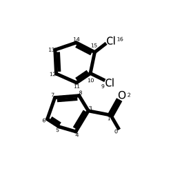 CC(=O)c1ccccc1.Clc1ccccc1Cl